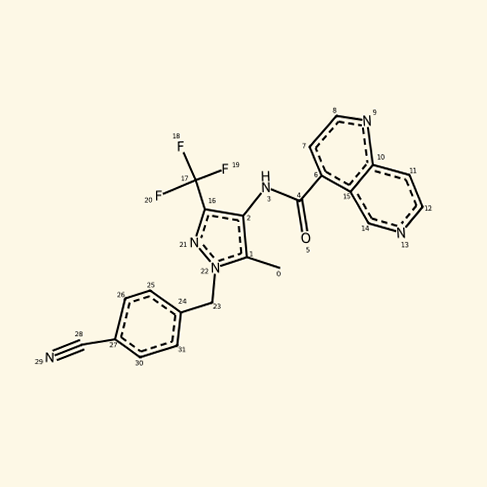 Cc1c(NC(=O)c2ccnc3ccncc23)c(C(F)(F)F)nn1Cc1ccc(C#N)cc1